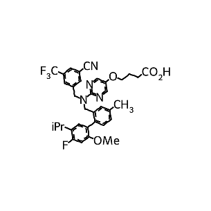 COc1cc(F)c(C(C)C)cc1-c1ccc(C)cc1CN(Cc1cc(C#N)cc(C(F)(F)F)c1)c1ncc(OCCCC(=O)O)cn1